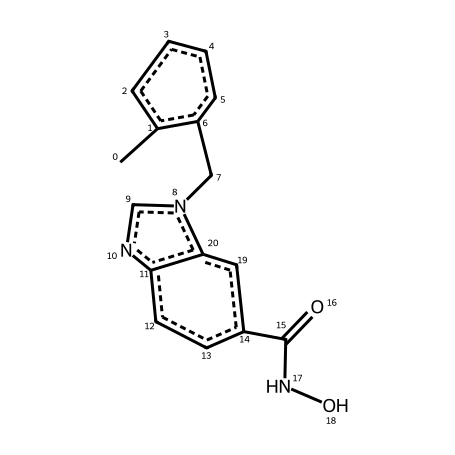 Cc1ccccc1Cn1cnc2ccc(C(=O)NO)cc21